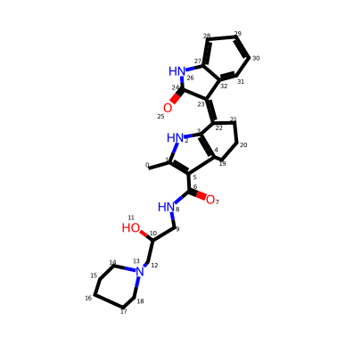 Cc1[nH]c2c(c1C(=O)NCC(O)CN1CCCCC1)CCC/C2=C1/C(=O)Nc2ccccc21